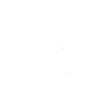 CCCc1cccc(C#N)c1NC1=CC(=O)N(CC2CC2)C1